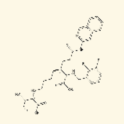 CC(=O)N(NCc1cccc(F)c1F)[C@@H](CCCCN[C@H](C(=O)O)C(C)C)COC(=O)Nc1cc2ccccc2cn1